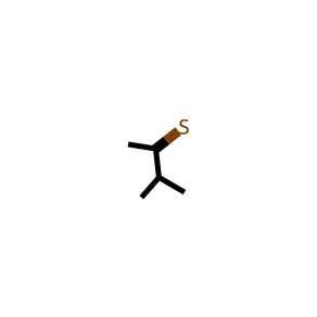 CC(=S)C(C)C